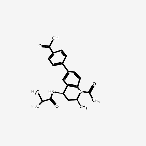 CC(=O)N1c2ccc(-c3ccc(C(=O)O)cc3)cc2[C@H](NC(=O)C(C)C)C[C@@H]1C